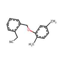 Cc1ccc(C)c(OCc2ccccc2CC#N)c1